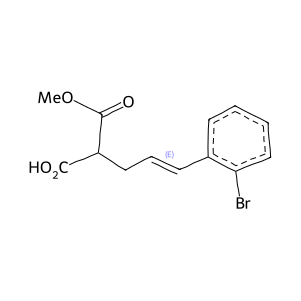 COC(=O)C(C/C=C/c1ccccc1Br)C(=O)O